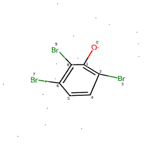 [O]c1c(Br)ccc(Br)c1Br